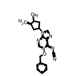 C=C1CC(n2cnc3c(=NC#N)n(OCc4ccccc4)cnc32)CC1O